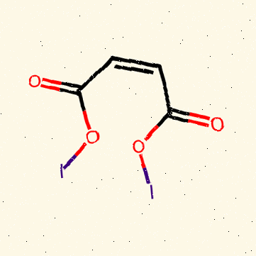 O=C(/C=C\C(=O)OI)OI